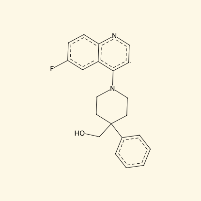 OCC1(c2ccccc2)CCN(c2[c]cnc3ccc(F)cc23)CC1